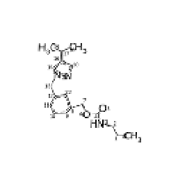 CCCNC(=O)OCc1cccc(Cn2cc(C(C)C)cn2)c1